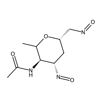 CC(=O)N[C@H]1C(C)O[C@H](CN=O)C[C@@H]1N=O